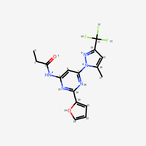 CCC(=O)Nc1cc(-n2nc(C(F)(F)F)cc2C)nc(-c2ccco2)n1